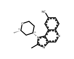 Cc1nc2cnc3ccc(C#N)cc3c2n1[C@H]1CCO[C@@H](C)C1